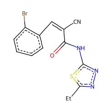 CCc1nnc(NC(=O)C(C#N)=Cc2ccccc2Br)s1